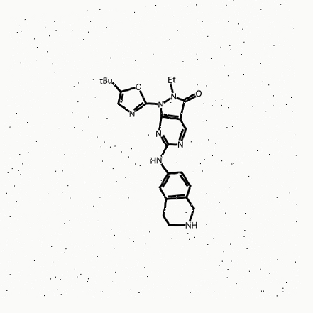 CCn1c(=O)c2cnc(Nc3ccc4c(c3)CCNC4)nc2n1-c1ncc(C(C)(C)C)o1